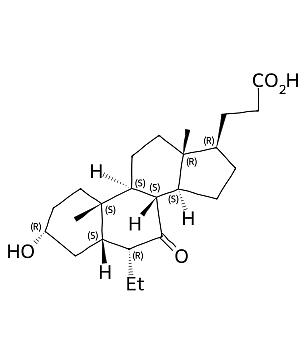 CC[C@H]1C(=O)[C@@H]2[C@H](CC[C@]3(C)[C@@H](CCC(=O)O)CC[C@@H]23)[C@@]2(C)CC[C@@H](O)C[C@@H]12